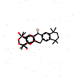 CC1(C)CCC(C)(C)c2cc3c(cc21)C1c2cc4c(cc2C3(Br)c2cc3c(cc21)C(C)(C)CCC3(C)C)C(C)(C)CCC4(C)C